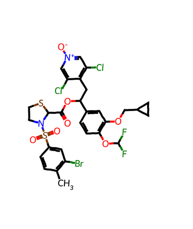 Cc1ccc(S(=O)(=O)N2CCSC2C(=O)OC(Cc2c(Cl)c[n+]([O-])cc2Cl)c2ccc(OC(F)F)c(OCC3CC3)c2)cc1Br